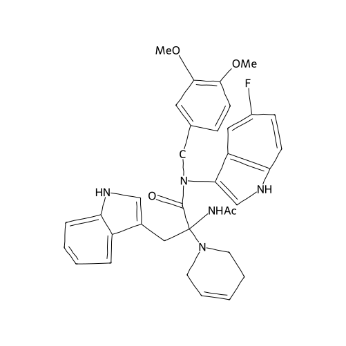 COc1ccc(CN(C(=O)C(Cc2c[nH]c3ccccc23)(NC(C)=O)N2CC=CCC2)c2c[nH]c3ccc(F)cc23)cc1OC